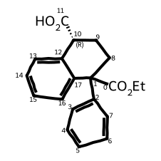 CCOC(=O)C1(c2ccccc2)CC[C@@H](C(=O)O)c2ccccc21